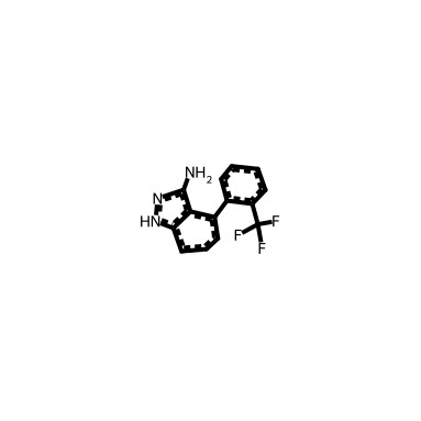 Nc1n[nH]c2cccc(-c3ccccc3C(F)(F)F)c12